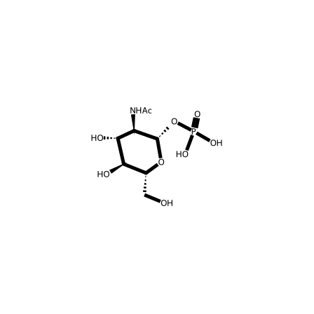 CC(=O)N[C@H]1[C@H](OP(=O)(O)O)O[C@H](CO)[C@@H](O)[C@@H]1O